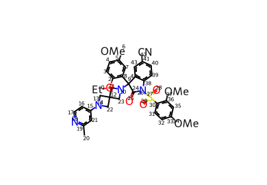 CCOc1ccc(OC)cc1C1(N2CC3(CN(c4ccnc(C)c4)C3)C2)C(=O)N(S(=O)(=O)c2ccc(OC)cc2OC)c2ccc(C#N)cc21